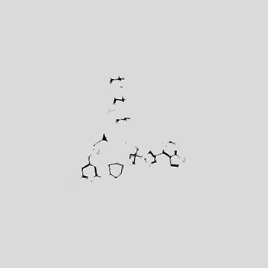 N#CCC1(n2cc(-c3ncnc4[nH]ccc34)cn2)CN([C@H]2CC[C@@H](Oc3cc(CNCC4CC4)cc(C(F)(F)F)n3)CC2)C1.O=C(O)C(F)(F)F.O=C(O)C(F)(F)F.O=C(O)C(F)(F)F